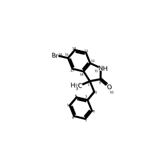 CC1(Cc2ccccc2)C(=O)Nc2ccc(Br)cc21